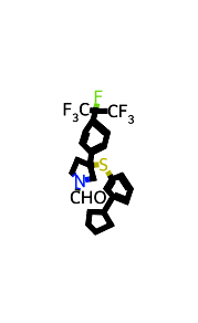 O=CN1CCC(Sc2cccc(C3CCCC3)c2)(c2ccc(C(F)(C(F)(F)F)C(F)(F)F)cc2)C1